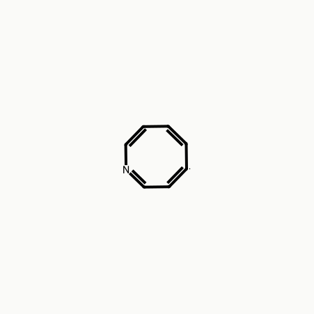 [C]1=CC=NC=CC=C1